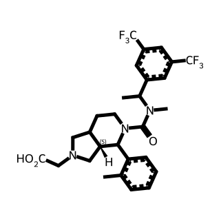 Cc1ccccc1C1[C@@H]2CN(CC(=O)O)CC2CCN1C(=O)N(C)C(C)c1cc(C(F)(F)F)cc(C(F)(F)F)c1